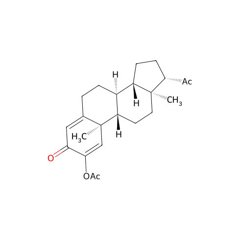 CC(=O)OC1=C[C@@]2(C)C(=CC1=O)CC[C@H]1[C@@H]3CC[C@H](C(C)=O)[C@@]3(C)CC[C@@H]12